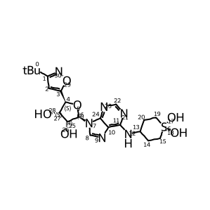 CC(C)(C)c1cc([C@H]2O[C@@H](n3cnc4c(NC5CCS(O)(O)CC5)ncnc43)[C@H](O)[C@@H]2O)on1